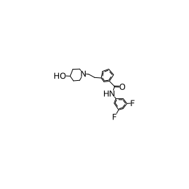 O=C(Nc1cc(F)cc(F)c1)c1cccc(CCN2CCC(O)CC2)c1